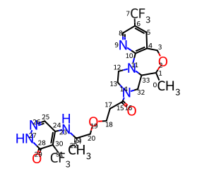 CC1OCc2cc(C(F)(F)F)cnc2N2CCN(C(=O)CCOC[C@H](C)Nc3cn[nH]c(=O)c3C(F)(F)F)CC12